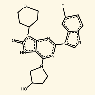 O=c1[nH]c2c(N3CCC(O)C3)nc(-n3cnc4ccc(F)cc43)nc2n1C1CCOCC1